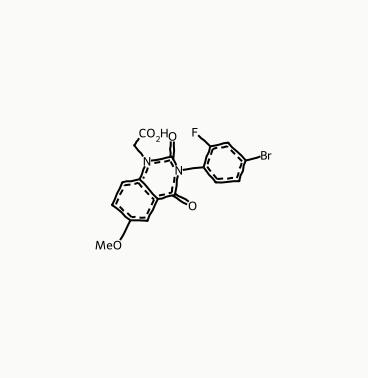 COc1ccc2c(c1)c(=O)n(-c1ccc(Br)cc1F)c(=O)n2CC(=O)O